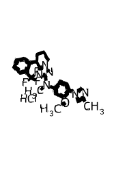 COc1cc(N(C)c2nc3n(n2)CCCC3c2ccccc2C(F)(F)F)ccc1-n1cnc(C)c1.Cl